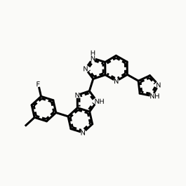 Cc1cc(F)cc(-c2cncc3[nH]c(-c4n[nH]c5ccc(-c6cn[nH]c6)nc45)nc23)c1